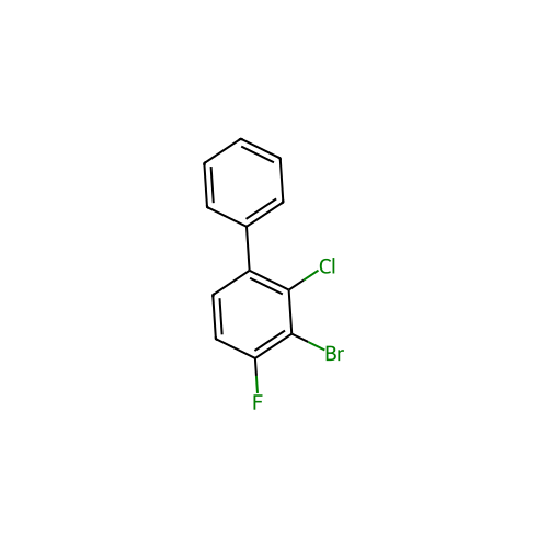 Fc1ccc(-c2ccccc2)c(Cl)c1Br